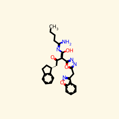 CCCC/C(N)=N/C(O)=C(\C(=O)C[C@H]1CCc2ccccc21)c1nnc(Cc2noc3ccccc23)o1